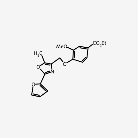 CCOC(=O)c1ccc(OCc2nc(-c3ccco3)oc2C)c(OC)c1